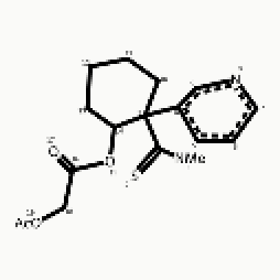 CNC(=S)C1(c2cccnc2)CCCCC1OC(=O)COC(C)=O